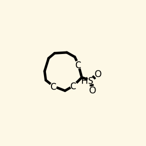 O=[SH](=O)C1CCCCCCCCCC1